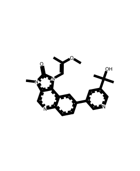 CO/C(C)=C/n1c(=O)n(C)c2cnc3ccc(-c4cncc(C(C)(C)O)c4)cc3c21